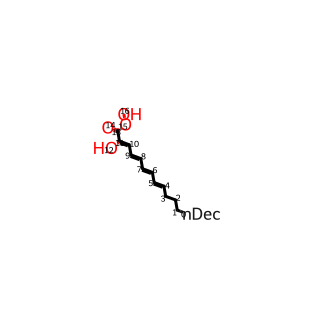 CCCCCCCCCCCCCC=CC=CC=CC=C(O)C(=O)OO